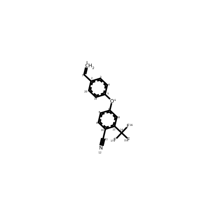 C=Cc1ccc(Oc2ccc(C#N)c(C(F)(F)F)c2)cc1